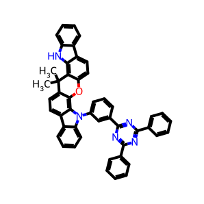 CC1(C)c2ccc3c4ccccc4n(-c4cccc(-c5nc(-c6ccccc6)nc(-c6ccccc6)n5)c4)c3c2Oc2ccc3c([nH]c4ccccc43)c21